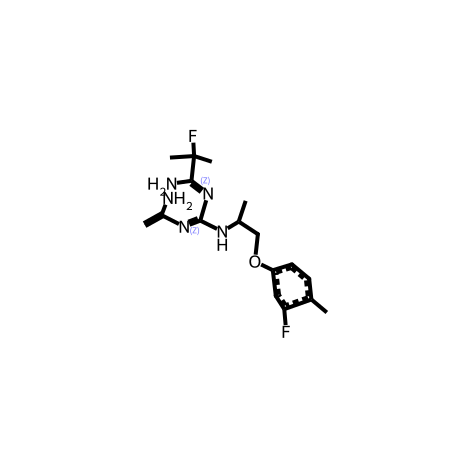 C=C(N)/N=C(\N=C(/N)C(C)(C)F)NC(C)COc1ccc(C)c(F)c1